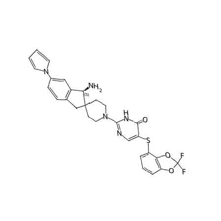 N[C@@H]1c2cc(-n3cccc3)ccc2CC12CCN(c1ncc(Sc3cccc4c3OC(F)(F)O4)c(=O)[nH]1)CC2